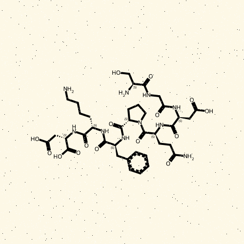 NCCCC[C@H](NC(=O)[C@H](Cc1ccccc1)NC(=O)[C@@H]1CCCN1C(=O)[C@H](CCC(N)=O)NC(=O)[C@H](CC(=O)O)NC(=O)CNC(=O)[C@@H](N)CO)C(=O)N[C@@H](CC(=O)O)C(=O)O